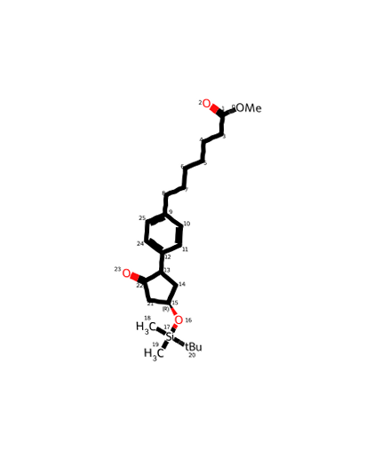 COC(=O)CCCCCCc1ccc(C2C[C@@H](O[Si](C)(C)C(C)(C)C)CC2=O)cc1